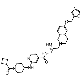 O=C(NC[C@H](O)CN1CCc2cc(OCc3cnco3)ccc2C1)c1ccnc(NC2CCN(C(=O)C3CCC3)CC2)c1